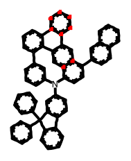 c1ccc(-c2ccccc2-c2c(-c3ccccc3)cccc2-c2cccc(N(c3ccc(-c4ccc5ccccc5c4)cc3)c3ccc4c(c3)C(c3ccccc3)(c3ccccc3)c3ccccc3-4)c2)cc1